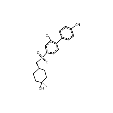 C[C@]1(O)CC[C@@H](CS(=O)(=O)c2ccc(-c3ccc(C#N)cc3)c(Cl)c2)CC1